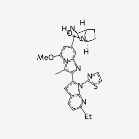 CCc1ccc2cc(-c3nc4cc(C(=O)N5[C@H]6CC[C@@H]5[C@H](N)C6)cc(OC)n4c3C)n(-c3nccs3)c2n1